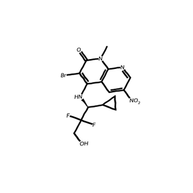 Cn1c(=O)c(Br)c(N[C@@H](C2CC2)C(F)(F)CO)c2cc([N+](=O)[O-])cnc21